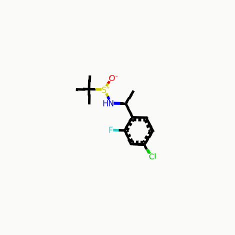 CC(N[S+]([O-])C(C)(C)C)c1ccc(Cl)cc1F